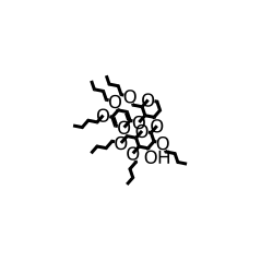 CCCCOCC1OCCC(OC2OC(COCCCC)C(OCCCC)C(O)C2OCCCC)C1OC1=CC(OCCCC)C(OCCCC)=CO1